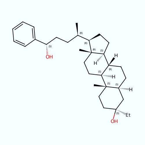 CC[C@]1(O)CC[C@@]2(C)[C@@H](CC[C@@H]3[C@@H]2CC[C@]2(C)[C@@H]([C@H](C)CC[C@H](O)c4ccccc4)CC[C@@H]32)C1